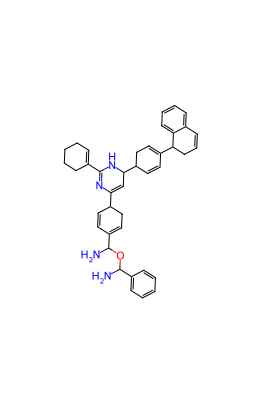 NC(OC(N)c1ccccc1)C1=CCC(C2=CC(C3C=CC(C4CC=Cc5ccccc54)=CC3)NC(C3=CCCCC3)=N2)C=C1